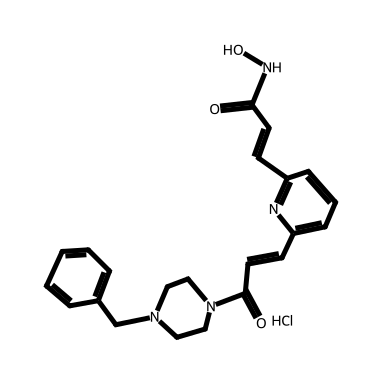 Cl.O=C(/C=C/c1cccc(/C=C/C(=O)N2CCN(Cc3ccccc3)CC2)n1)NO